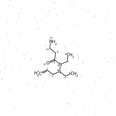 C=CCN(CC)N(CC)C(=O)CCN